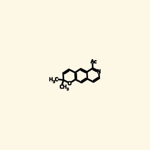 CC(=O)c1nccc2cc3c(cc12)C=CC(C)(C)O3